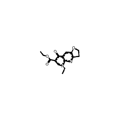 CCOC(=O)c1cn(CC)c2nc3c(cc2c1=O)OCC3